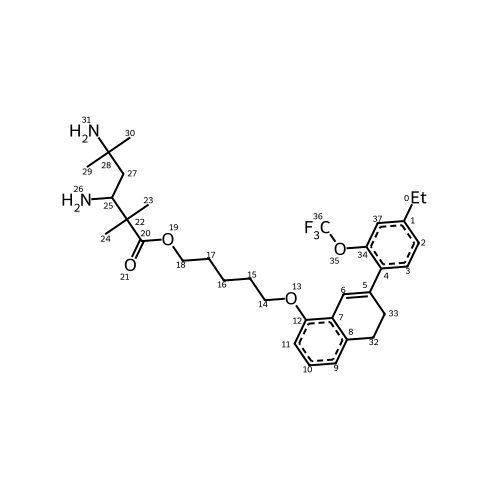 CCc1ccc(C2=Cc3c(cccc3OCCCCCOC(=O)C(C)(C)C(N)CC(C)(C)N)CC2)c(OC(F)(F)F)c1